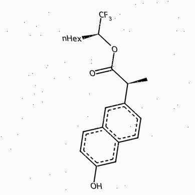 CCCCCC[C@H](OC(=O)[C@@H](C)c1ccc2cc(O)ccc2c1)C(F)(F)F